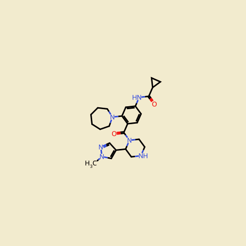 Cn1cc(C2CNCCN2C(=O)c2ccc(NC(=O)C3CC3)cc2N2CCCCCC2)cn1